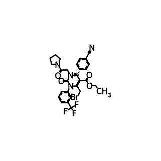 CCOC(=O)C1=C(CBr)N(c2cccc(C(F)(F)F)c2)C(=O)N(CC(=O)N2CCCC2)[C@@H]1c1ccc(C#N)cc1